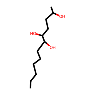 CCCCCCC(O)C(O)CCC(C)O